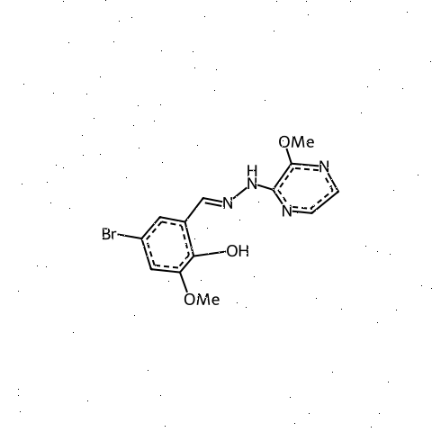 COc1cc(Br)cc(C=NNc2nccnc2OC)c1O